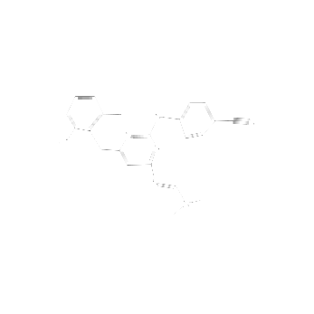 CN(C)/C=N/c1cc(Cc2c(Cl)cccc2Cl)nc(Nc2ccc(C#N)cc2)n1